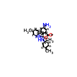 CC1=CCC(C)(NC2(NC3(C)C=CC(C)=CC3)OC(=O)c3cc(N)ccc32)C=C1